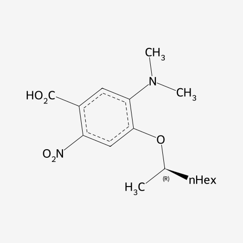 CCCCCC[C@@H](C)Oc1cc([N+](=O)[O-])c(C(=O)O)cc1N(C)C